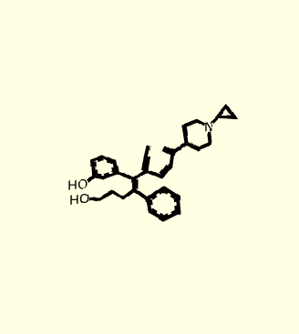 C=C(\C=C/C(=C\C)C(=C(/CCCO)c1ccccc1)/c1cccc(O)c1)C1CCN(C2CC2)CC1